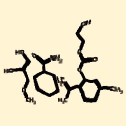 CC1CCC(C(C)C)C(OC(=O)OCCO)C1.COCC(O)CO.NC(=O)C1CCCCC1